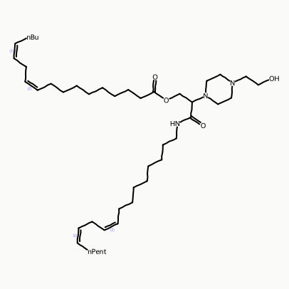 CCCC/C=C\C/C=C\CCCCCCCCC(=O)OCC(C(=O)NCCCCCCCC/C=C\C/C=C\CCCCC)N1CCN(CCO)CC1